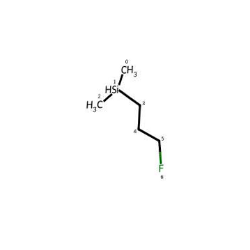 C[SiH](C)CCCF